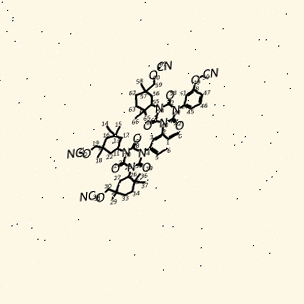 C=C/C(=C\C(=C/C)n1c(=O)n(C2CC(C)(C)CC(C)(COC#N)C2)c(=O)n(C2CC(C)(COC#N)CCC2(C)C)c1=O)n1c(=O)n(-c2cccc(OC#N)c2)c(=O)n(C2CC(C)(COC#N)CCC2(C)C)c1=O